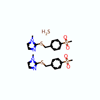 Cn1ccnc1SCc1ccc(S(C)(=O)=O)cc1.Cn1ccnc1SCc1ccc(S(C)(=O)=O)cc1.S